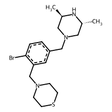 C[C@@H]1CN(Cc2ccc(Br)c(CN3CCSCC3)c2)C[C@@H](C)N1